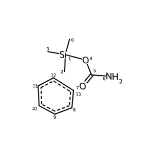 C[Si](C)(C)OC(N)=O.c1ccccc1